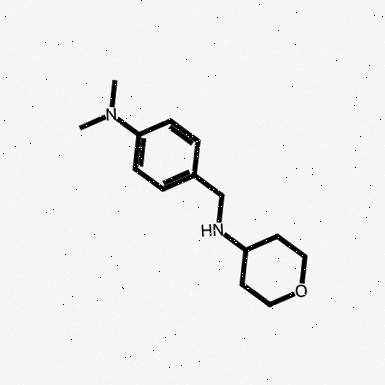 CN(C)c1ccc(CNC2CCOCC2)cc1